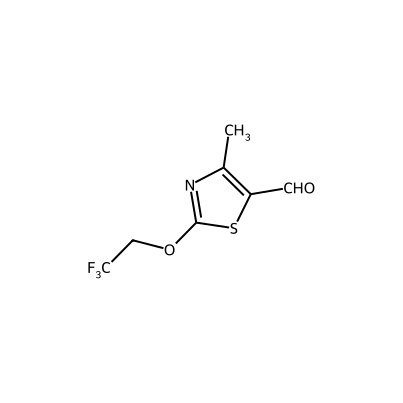 Cc1nc(OCC(F)(F)F)sc1C=O